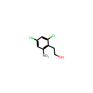 O=[N+]([O-])c1cc(Cl)cc(Cl)c1CCO